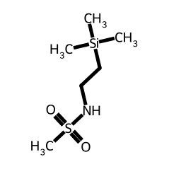 C[Si](C)(C)CCNS(C)(=O)=O